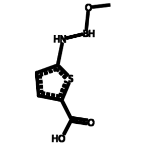 COBNc1ccc(C(=O)O)s1